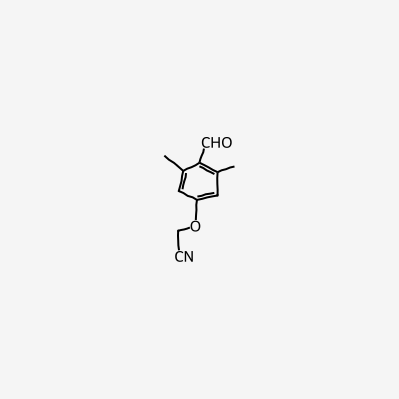 Cc1cc(OCC#N)cc(C)c1C=O